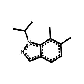 Cc1ccc2cnn(C(C)C)c2c1C